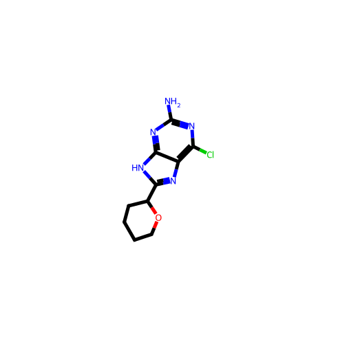 Nc1nc(Cl)c2nc(C3CCCCO3)[nH]c2n1